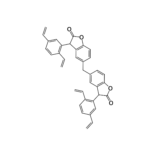 C=Cc1ccc(C=C)c(C2C(=O)Oc3ccc(Cc4ccc5c(c4)C(c4cc(C=C)ccc4C=C)C(=O)O5)cc32)c1